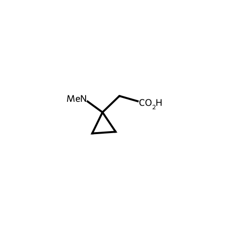 CNC1(CC(=O)O)CC1